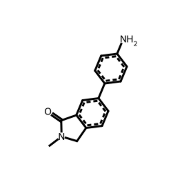 CN1Cc2ccc(-c3ccc(N)cc3)cc2C1=O